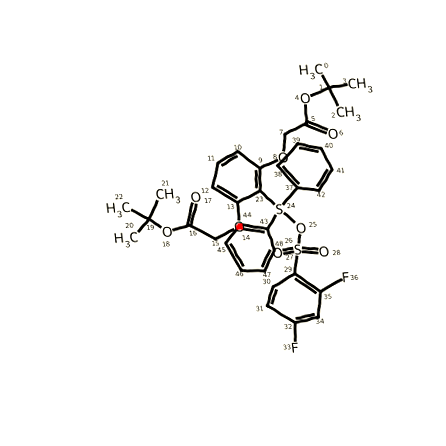 CC(C)(C)OC(=O)COc1cccc(OCC(=O)OC(C)(C)C)c1S(OS(=O)(=O)c1ccc(F)cc1F)(c1ccccc1)c1ccccc1